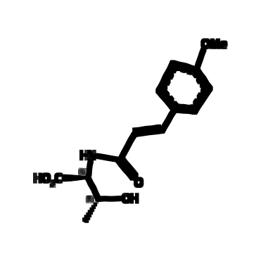 COc1ccc(C=CC(=O)N[C@H](C(=O)O)[C@@H](C)O)cc1